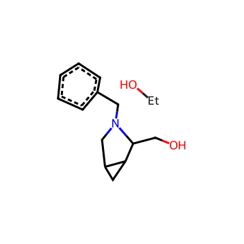 CCO.OCC1C2CC2CN1Cc1ccccc1